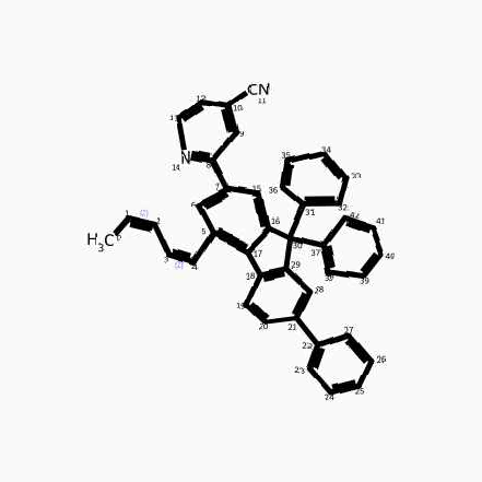 C/C=C\C=C/c1cc(-c2cc(C#N)ccn2)cc2c1-c1ccc(-c3ccccc3)cc1C2(c1ccccc1)c1ccccc1